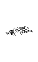 CCc1c(-c2ccc3c(c2)cc2n3CCC2O[Si](C)(C)C(C)(C)C)[nH]c(=O)c(C(=O)OC)c1O